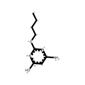 CCCCOc1nc(N)cc(O)n1